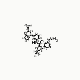 NCc1cccc(N2N=C(C(F)(F)F)CC2C(=O)Nc2cccc(C(CCC3CC3)N3CCCC3=O)c2)c1